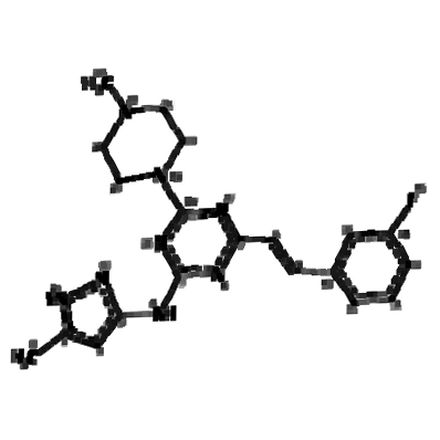 Cc1cc(Nc2nc(/C=C/c3cccc(F)c3)nc(N3CCN(C)CC3)n2)n[nH]1